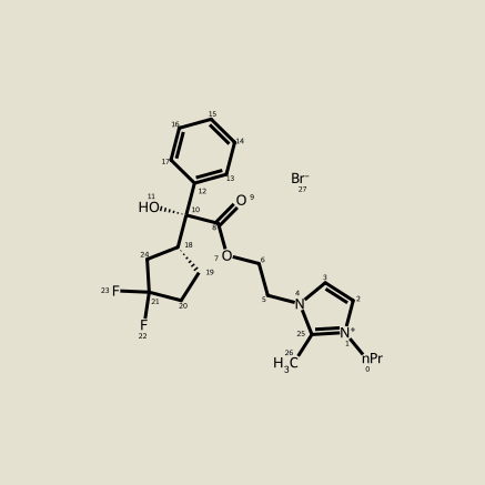 CCC[n+]1ccn(CCOC(=O)[C@](O)(c2ccccc2)[C@@H]2CCC(F)(F)C2)c1C.[Br-]